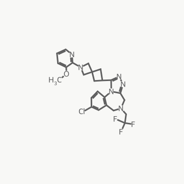 COc1cccnc1N1CC2(CC(c3nnc4n3-c3ccc(Cl)cc3CN(CC(F)(F)F)C4)C2)C1